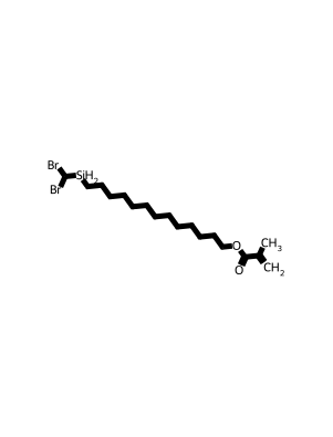 C=C(C)C(=O)OCCCCCCCCCCCCC[SiH2]C(Br)Br